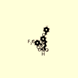 O=C1NC(=O)C(=Cc2cc3cc(OCc4ccccc4)ccc3n2Cc2ccc(C(F)(F)F)cc2C(F)(F)F)S1